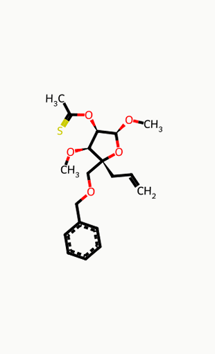 C=CC[C@]1(COCc2ccccc2)O[C@H](OC)[C@H](OC(C)=S)[C@@H]1OC